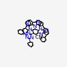 N#Cc1c(-c2nc(-c3ccccc3)nc(-c3ccccc3)n2)c(-n2c3ccccc3c3ccncc32)c(-n2c3ccccc3c3ccncc32)c(-n2c3ccccc3c3ccncc32)c1-n1c2ccccc2c2ccncc21